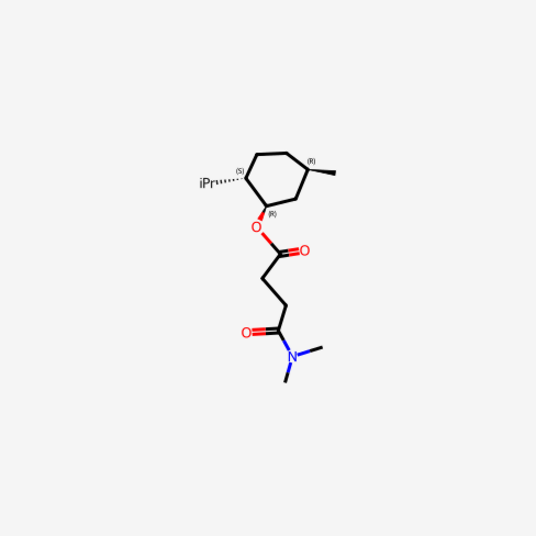 CC(C)[C@@H]1CC[C@@H](C)C[C@H]1OC(=O)CCC(=O)N(C)C